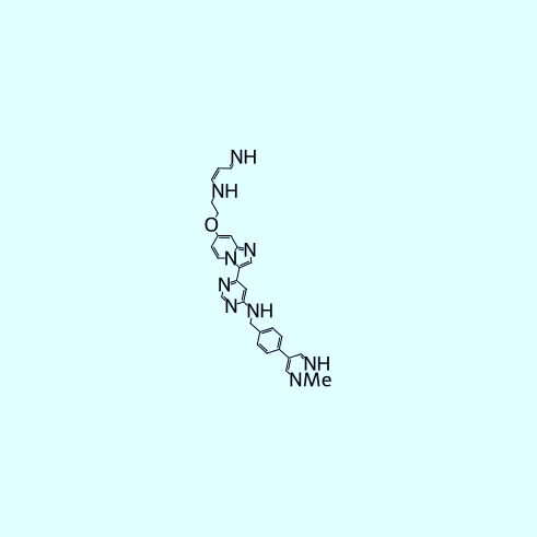 CN/C=C(\C=N)c1ccc(CNc2cc(-c3cnc4cc(OCCN/C=C\C=N)ccn34)ncn2)cc1